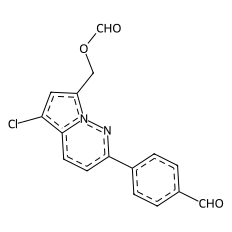 O=COCc1cc(Cl)c2ccc(-c3ccc(C=O)cc3)nn12